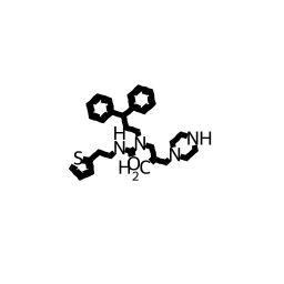 C=C(CN1CCNCC1)CN(CCC(c1ccccc1)c1ccccc1)C(=O)NCCc1cccs1